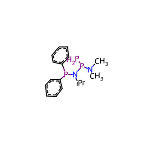 CC(C)N(P(c1ccccc1)c1ccccc1)P(P)N(C)C